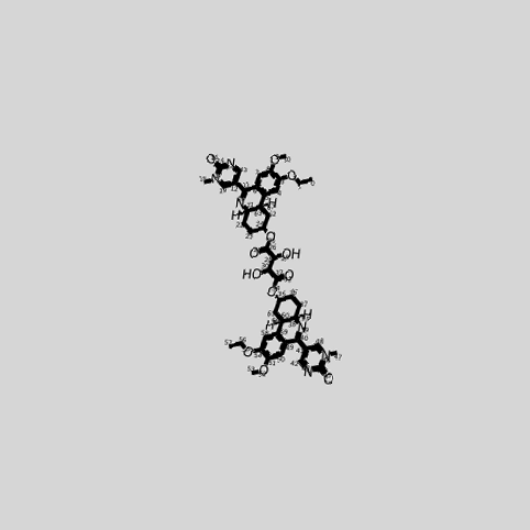 CCOc1cc2c(cc1OC)C(c1cnc(=O)n(C)c1)=N[C@H]1CC[C@H](OC(=O)C(O)C(O)C(=O)O[C@H]3CC[C@@H]4N=C(c5cnc(=O)n(C)c5)c5cc(OC)c(OCC)cc5[C@@H]4C3)C[C@@H]21